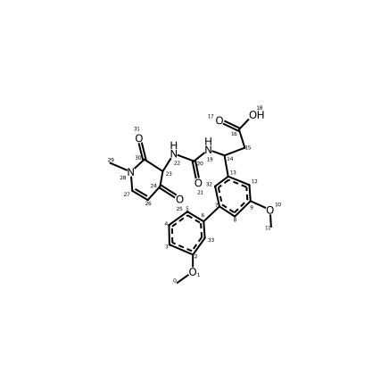 COc1cccc(-c2cc(OC)cc(C(CC(=O)O)NC(=O)NC3C(=O)C=CN(C)C3=O)c2)c1